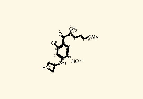 COCCCN(C)C(=O)c1ccc(NC2CNC2)cc1Cl.Cl